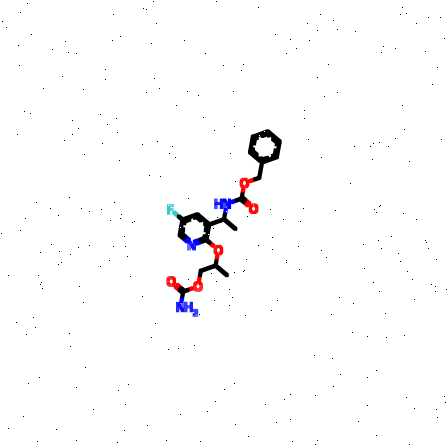 CC(COC(N)=O)Oc1ncc(F)cc1C(C)NC(=O)OCc1ccccc1